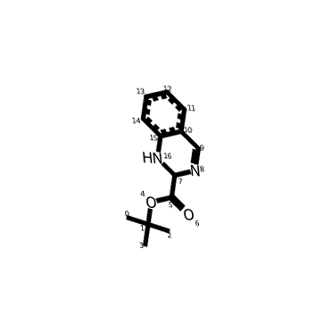 CC(C)(C)OC(=O)C1N=Cc2ccccc2N1